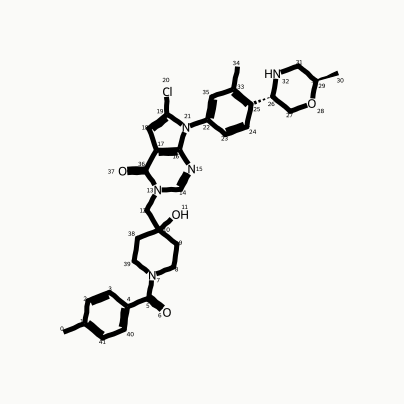 Cc1ccc(C(=O)N2CCC(O)(Cn3cnc4c(cc(Cl)n4-c4ccc([C@H]5CO[C@H](C)CN5)c(C)c4)c3=O)CC2)cc1